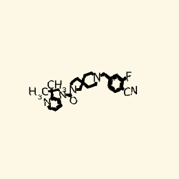 CC1(C)CN(C(=O)N2CCC3(CCN(Cc4ccc(C#N)c(F)c4)CC3)C2)c2cccnc21